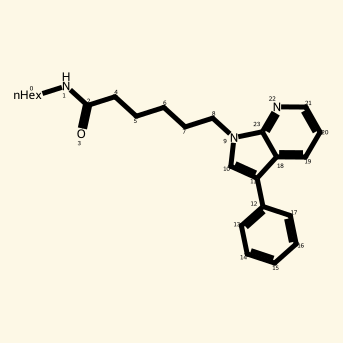 CCCCCCNC(=O)CCCCCn1cc(-c2ccccc2)c2cccnc21